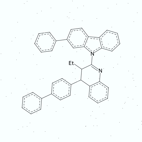 CCC1C(n2c3ccccc3c3ccc(-c4ccccc4)cc32)=Nc2ccccc2C1c1ccc(-c2ccccc2)cc1